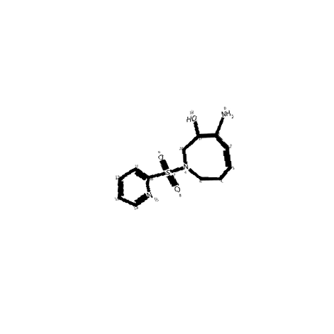 NC1C=CCCN(S(=O)(=O)c2ccccn2)CC1O